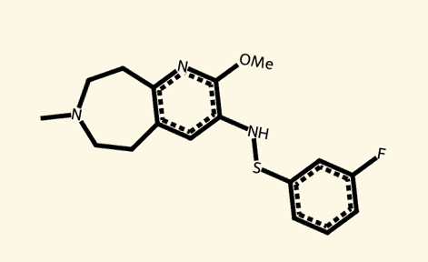 COc1nc2c(cc1NSc1cccc(F)c1)CCN(C)CC2